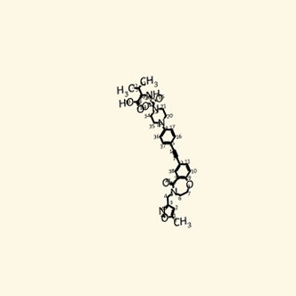 Cc1cc(CN2CCOc3ccc(C#Cc4ccc(N5CCN(S(=O)(=O)N[C@@H](C(=O)O)C(C)C)CC5)cc4)cc3C2=O)no1